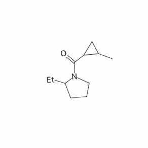 CCC1CCCN1C(=O)C1CC1C